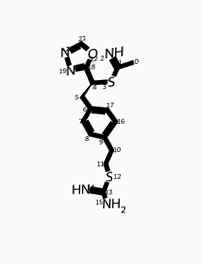 CC(=N)S[C@@H](Cc1ccc(CCSC(=N)N)cc1)c1nnco1